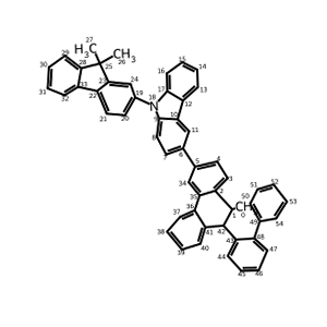 CC1c2ccc(-c3ccc4c(c3)c3ccccc3n4-c3ccc4c(c3)C(C)(C)c3ccccc3-4)cc2-c2ccccc2C1c1ccccc1-c1ccccc1